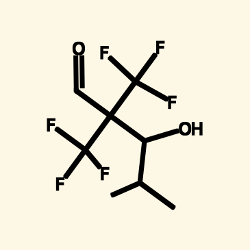 CC(C)C(O)C(C=O)(C(F)(F)F)C(F)(F)F